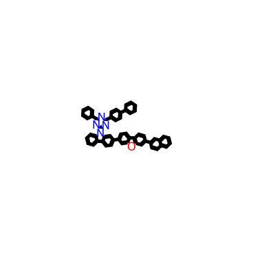 c1ccc(-c2ccc(-c3nc(-c4ccccc4)nc(-n4c5ccccc5c5ccc(-c6ccc7c(c6)oc6cc(-c8ccc9ccccc9c8)ccc67)cc54)n3)cc2)cc1